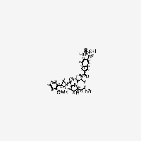 CCC[C@H]1CC[C@H](NC(=O)c2cc3cc(C(F)P(=O)(O)O)ccc3s2)C(=O)N2[C@H](CC[C@H]2C(=O)N2CC(c3cnccc3OC)C2)C1